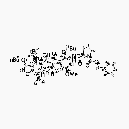 CCCCOc1noc2c1C(=O)[C@@]1(O[Si](C)(C)C(C)(C)C)C(O)=C3C(=O)c4c(c(OC)cc(NC(=O)[C@H]5CCCN5C(=O)OCc5ccccc5)c4OCCCC)C[C@H]3C[C@H]1[C@@H]2N(C)C